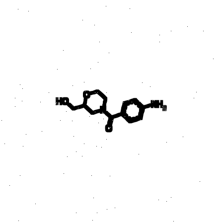 Nc1ccc(C(=O)N2CCOC(CO)C2)cc1